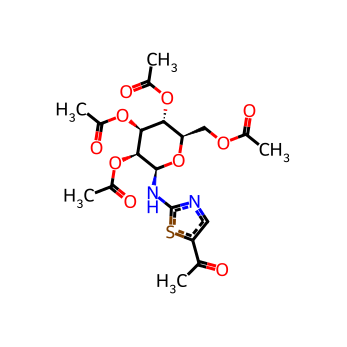 CC(=O)OC[C@H]1O[C@@H](Nc2ncc(C(C)=O)s2)[C@@H](OC(C)=O)[C@@H](OC(C)=O)[C@@H]1OC(C)=O